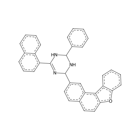 c1ccc(C2NC(c3cccc4ccccc34)=NC(c3ccc4ccc5oc6ccccc6c5c4c3)N2)cc1